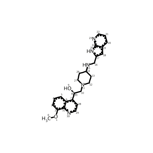 COc1cccc2c([C@@H](O)CN3CCC(NCc4cc5cccnc5[nH]4)CC3)ccnc12